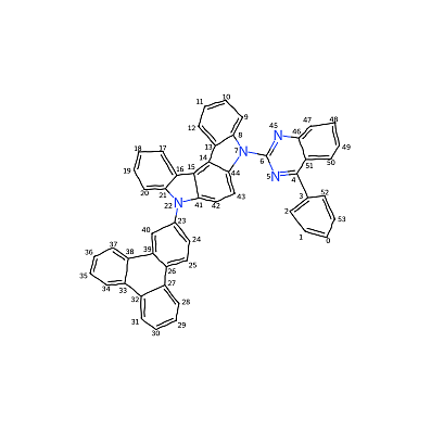 c1ccc(-c2nc(-n3c4ccccc4c4c5c6ccccc6n(-c6ccc7c8ccccc8c8ccccc8c7c6)c5ccc43)nc3ccccc23)cc1